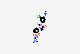 [C-]#[N+]c1ccc(N2C(=O)C(C)(C)N(c3cccc(S(=O)(=O)/N=C/N(C)C)c3)C2=S)cc1Cl